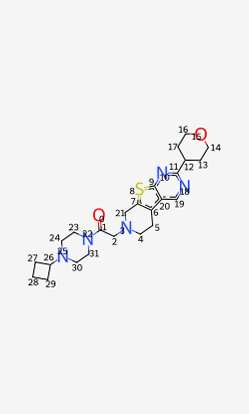 O=C(CN1CCc2c(sc3nc(C4CCOCC4)ncc23)C1)N1CCN(C2CCC2)CC1